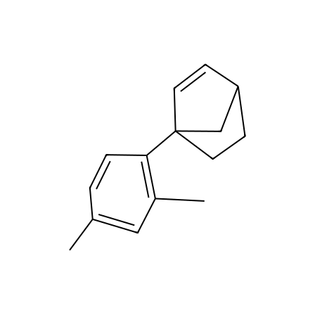 Cc1ccc(C23C=CC(CC2)C3)c(C)c1